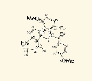 COc1ccc(C(=O)OCc2c(-c3cc(F)ccc3OC)ccc3c2C(C)=CC(C)(C)N3)cc1